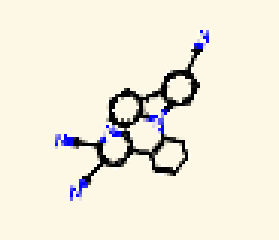 N#Cc1ccc2c(c1)c1ccccc1n2C1=C(c2cnc(C#N)c(C#N)c2)C=CCC1